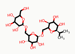 CC(C)[C@H]1OC(CO[C@H]2OC(CO[C@H]3OC(CO)[C@@H](O)C(O)[C@H]3O)[C@@H](O)C(O)[C@H]2O)[C@@H](O)C(O)[C@H]1O